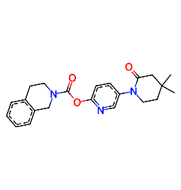 CC1(C)CCN(c2ccc(OC(=O)N3CCc4ccccc4C3)nc2)C(=O)C1